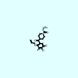 C=CCOc1c(C(=O)C2CCN(C(=O)OC(C)(C)C)CC2)cc(Cl)c(Cl)c1F